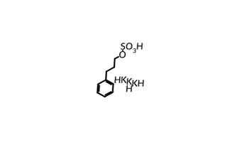 O=S(=O)(O)OCCCc1ccccc1.[KH].[KH].[KH]